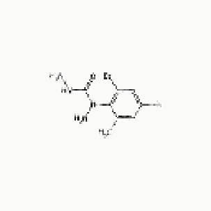 CCc1cc(C)c(N(N)C(=O)NN)c(CC)c1